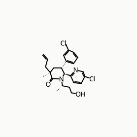 C=CC[C@@]1(C)C[C@H](c2cccc(Cl)c2)[C@@H](c2ccc(Cl)cn2)N([C@@H](C)CCO)C1=O